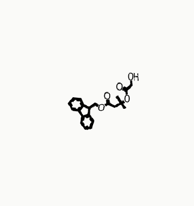 CC(C)(CC(=O)OCC1c2ccccc2-c2ccccc21)OC(=O)CO